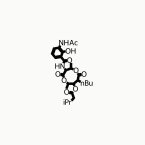 CCCCC1C(=O)OC(C)C(NC(=O)c2cccc(NC(C)=O)c2O)C(=O)OC(C)C1OC(=O)CC(C)C